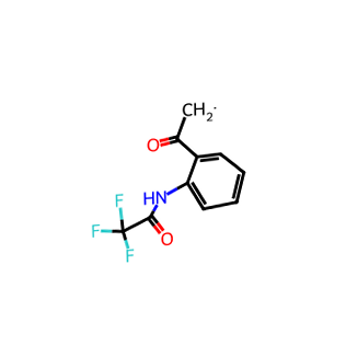 [CH2]C(=O)c1ccccc1NC(=O)C(F)(F)F